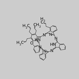 C=CCc1cccc2c1-c1nc-2nc2[nH]c(nc3nc(nc4[nH]c(n1)c1c(CC=C)c(CC=C)c(CC=C)c(Oc5ccccc5)c41)-c1ccccc1-3)c1ccccc21